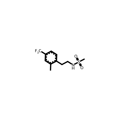 Cc1cc(C(F)(F)F)ccc1CCNS(C)(=O)=O